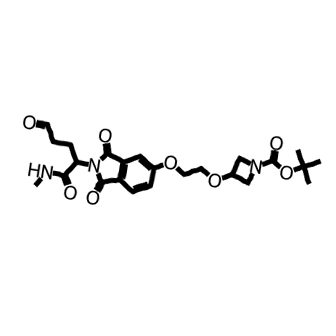 CNC(=O)C(CCC=O)N1C(=O)c2ccc(OCCOC3CN(C(=O)OC(C)(C)C)C3)cc2C1=O